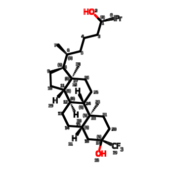 CC(C)[C@H](O)CCC[C@H](C)[C@@H]1CC[C@H]2[C@@H]3CC[C@H]4C[C@](O)(C(F)(F)F)CC[C@]4(C)[C@H]3CC[C@@]21C